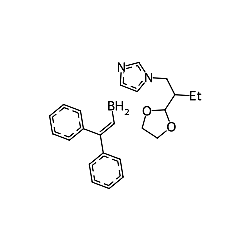 BC=C(c1ccccc1)c1ccccc1.CCC(Cn1ccnc1)C1OCCO1